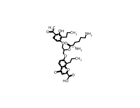 CCCc1c(OCC(COc2ccc3c(=O)cc(C(=O)O)oc3c2CCC)OC(=O)[C@@H](N)CCCCN)ccc(C(C)=O)c1O